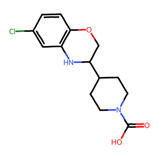 O=C(O)N1CCC(C2COc3ccc(Cl)cc3N2)CC1